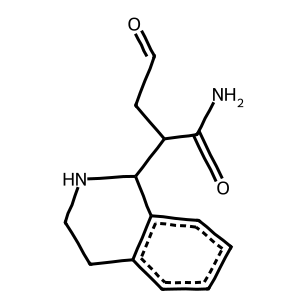 NC(=O)C(CC=O)C1NCCc2ccccc21